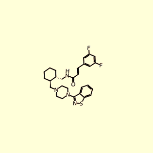 O=C(/C=C/c1cc(F)cc(F)c1)NC[C@H]1CCCC[C@@H]1CN1CCN(c2nsc3ccccc23)CC1